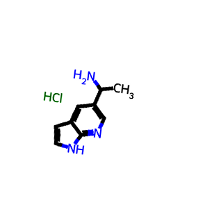 CC(N)c1cnc2[nH]ccc2c1.Cl